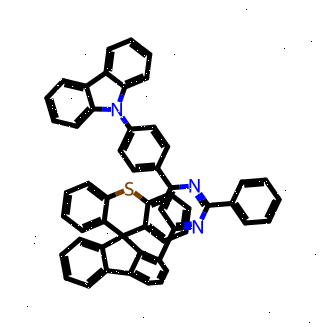 c1ccc(-c2nc(-c3ccc(-n4c5ccccc5c5ccccc54)cc3)cc(-c3cccc4c3C3(c5ccccc5Sc5ccccc53)c3ccccc3-4)n2)cc1